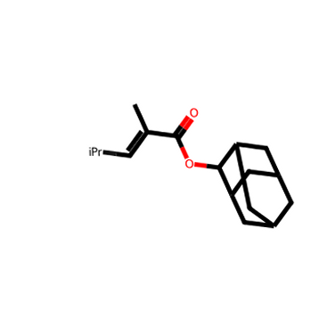 CC(=CC(C)C)C(=O)OC1C2CC3CC(C2)CC1C3